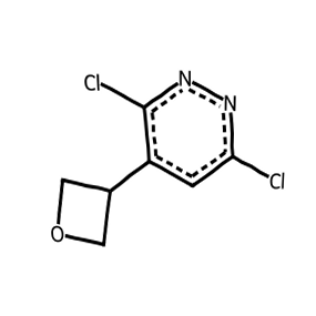 Clc1cc(C2COC2)c(Cl)nn1